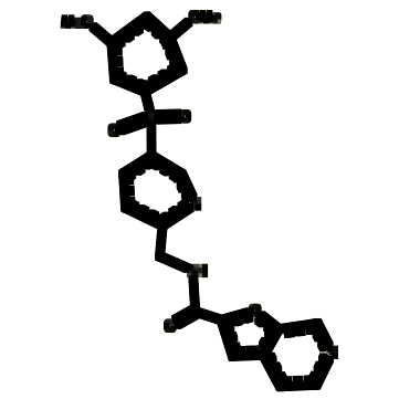 COc1cc(OC)cc(S(=O)(=O)c2ccc(CNC(=O)c3cc4ccncc4o3)nc2)c1